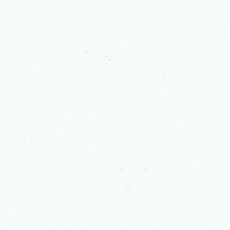 CC1(C)c2cc(-n3c4ccccc4n4c(=O)c5ccccc5nc34)ccc2-c2ccc(-n3c4ccccc4n4c(=O)c5ccccc5nc34)cc21